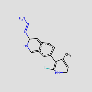 CC1=CCNC(F)=C1c1ccc2c(c1)=CNC(N=NN)C=2